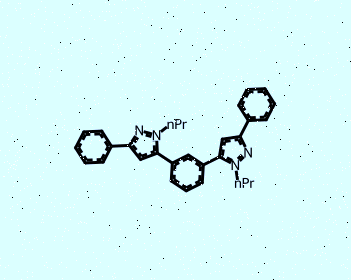 CCCn1nc(-c2ccccc2)cc1-c1cccc(-c2cc(-c3ccccc3)nn2CCC)c1